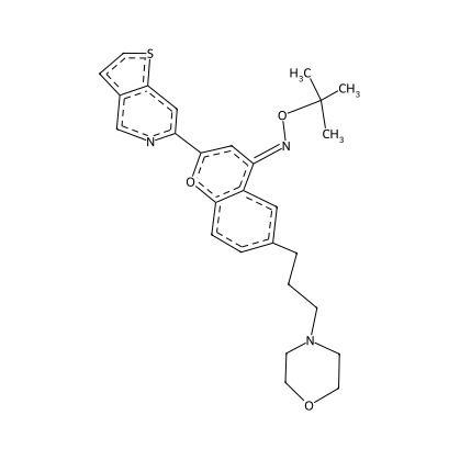 CC(C)(C)ON=c1cc(-c2cc3sccc3cn2)oc2ccc(CCCN3CCOCC3)cc12